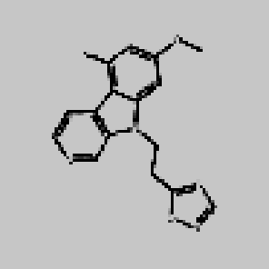 COc1cc(C)c2c3ccncc3n(CCc3ncno3)c2c1